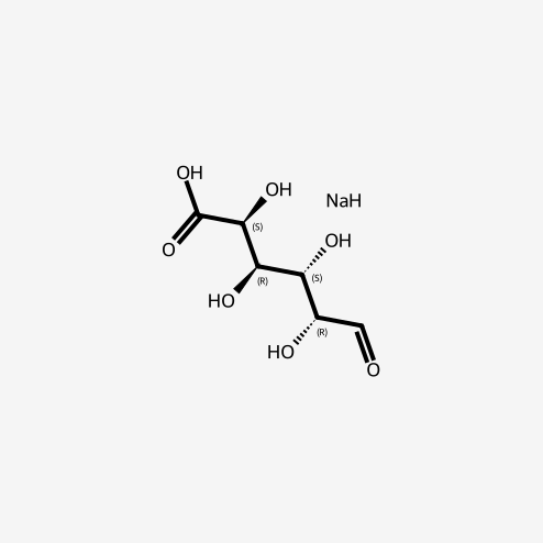 O=C[C@H](O)[C@@H](O)[C@@H](O)[C@H](O)C(=O)O.[NaH]